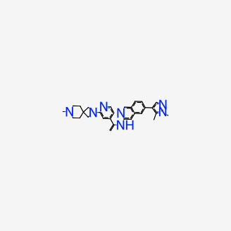 C=C(Nc1cc2cc(-c3cnn(C)c3C)ccc2cn1)c1ccnc(N2CC3(CCN(C)CC3)C2)c1